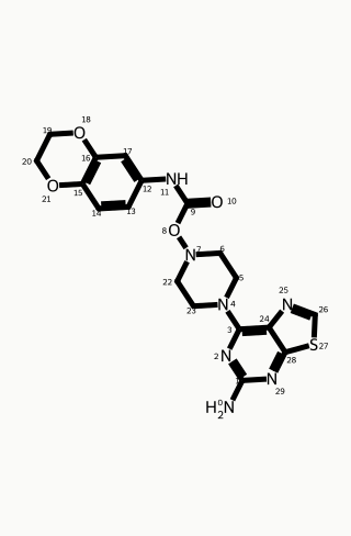 Nc1nc(N2CCN(OC(=O)Nc3ccc4c(c3)OCCO4)CC2)c2ncsc2n1